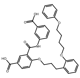 O=C(O)c1cccc(NC(=O)c2cc(C(=O)O)ccc2OCCCc2ccccc2OCCCCOc2ccccc2)c1